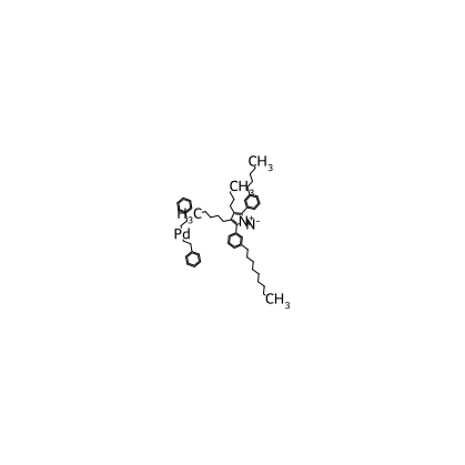 CCCCCCCCCc1cccc(C2=C(CCCCC)C(CCCC)=C(c3cccc(CCCCC)c3)[N+]2=[N-])c1.c1ccc(C[CH2][Pd][CH2]Cc2ccccc2)cc1